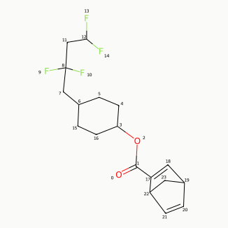 O=C(OC1CCC(CC(F)(F)CC(F)F)CC1)C1=CC2C=CC1C2